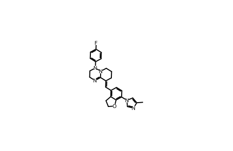 Cc1cn(-c2ccc(/C=C3\CCCN4C3=NCCN4c3ccc(F)cc3)c3c2OCC3)cn1